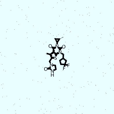 Cc1c(CN2CCNC2=O)sc2c1c(=O)n(C1C[C@@H]1C)c(=O)n2CC1CCC(F)(F)C1